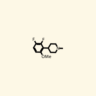 COc1ccc(F)c(F)c1C1CCN(C)CC1